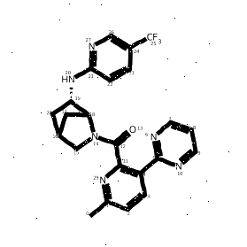 Cc1ccc(-c2ncccn2)c(C(=O)N2CC3CC2[C@@H](Nc2ccc(C(F)(F)F)cn2)C3)n1